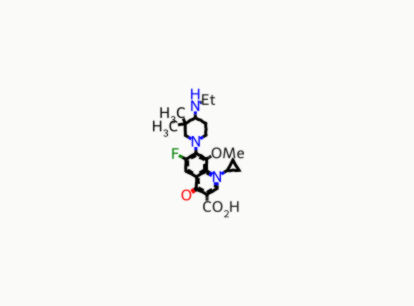 CCNC1CCN(c2c(F)cc3c(=O)c(C(=O)O)cn(C4CC4)c3c2OC)CC1(C)C